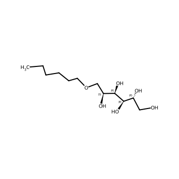 CCCCCCOC[C@H](O)[C@@H](O)[C@H](O)[C@H](O)CO